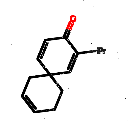 CC(C)C1=CC2(C=CC1=O)CC=CCC2